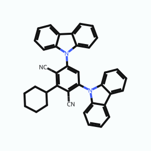 N#Cc1c(-n2c3ccccc3c3ccccc32)cc(-n2c3ccccc3c3ccccc32)c(C#N)c1C1CCCCC1